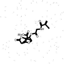 C=C(C)C(=O)NCC(=O)OC1C2OC(=O)C3C2OC1C3C(=O)OC